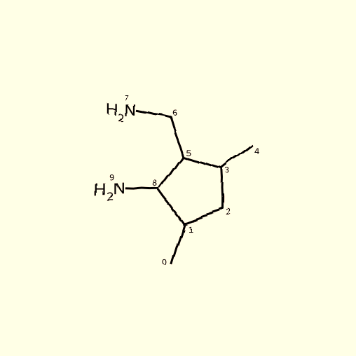 CC1CC(C)C(CN)C1N